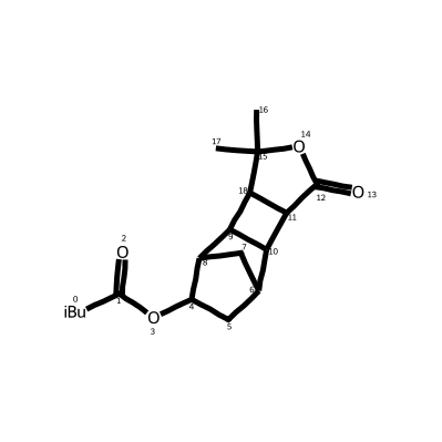 CCC(C)C(=O)OC1CC2CC1C1C2C2C(=O)OC(C)(C)C21